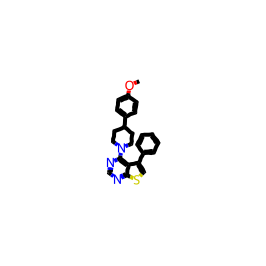 COc1ccc(C2CCN(c3ncnc4scc(-c5ccccc5)c34)CC2)cc1